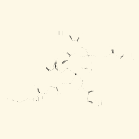 C=CC(=O)OCC(COCC(COC(=O)C=C)(COC(=O)C=C)COC(=O)CCC(=O)NCCO)(COC(=O)C=C)COC(=O)C=C